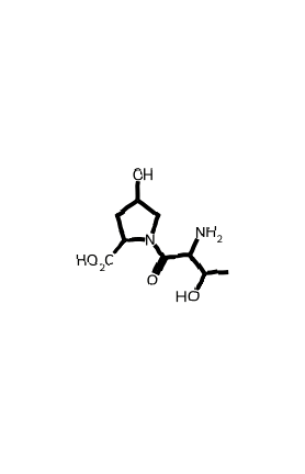 CC(O)C(N)C(=O)N1CC(O)CC1C(=O)O